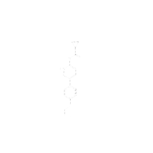 O=CCOc1ccc(C2=CC=C(NC(=O)C3CC3)NN2)cc1